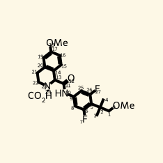 COCC(C)(C)c1c(F)cc(NC(=O)C2c3ccc(OC)cc3CCN2C(=O)O)cc1F